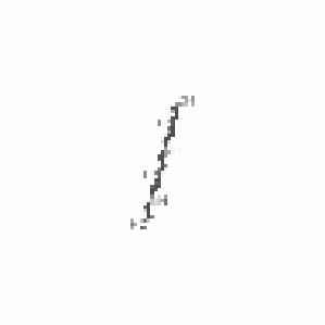 OCCNCCNCCNCCNCCO